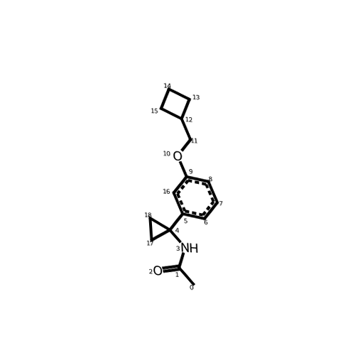 CC(=O)NC1(c2cccc(OCC3CCC3)c2)CC1